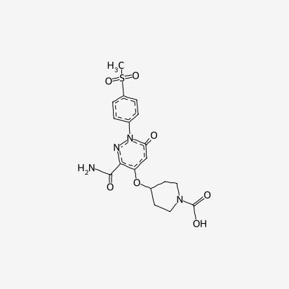 CS(=O)(=O)c1ccc(-n2nc(C(N)=O)c(OC3CCN(C(=O)O)CC3)cc2=O)cc1